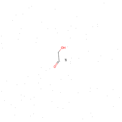 O=[C]CO.[Ti]